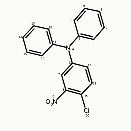 O=[N+]([O-])c1cc(N(c2ccccc2)c2ccccc2)ccc1Cl